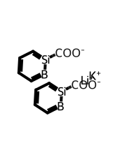 O=C([O-])[si]1bcccc1.O=C([O-])[si]1bcccc1.[K+].[Li+]